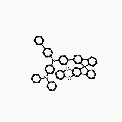 c1ccc(-c2ccc(N(c3ccc(-c4ccc5c(c4)C4(c6ccccc6-5)c5ccccc5-c5cc6c(cc54)Oc4ccccc4O6)cc3)c3ccc(N(c4ccccc4)c4ccccc4)cc3)cc2)cc1